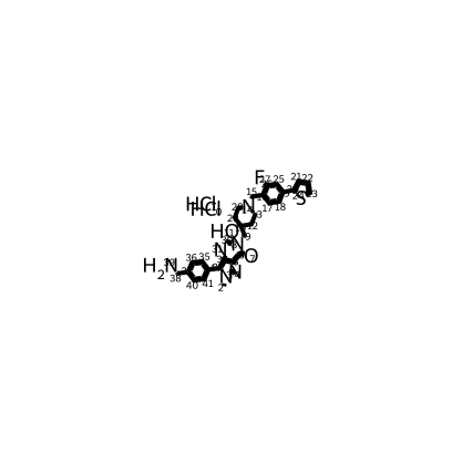 Cl.Cl.Cn1nc2c(=O)n(CC3(O)CCN(Cc4ccc(-c5cccs5)cc4F)CC3)cnc2c1-c1ccc(CN)cc1